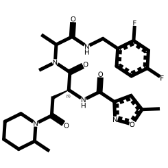 Cc1cc(C(=O)N[C@@H](CC(=O)N2CCCCC2C)C(=O)N(C)C(C)C(=O)NCc2ccc(F)cc2F)no1